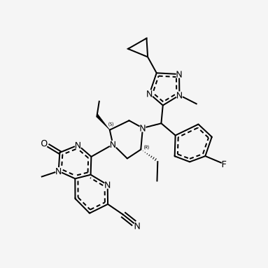 CC[C@H]1CN(C(c2ccc(F)cc2)c2nc(C3CC3)nn2C)[C@H](CC)CN1c1nc(=O)n(C)c2ccc(C#N)nc12